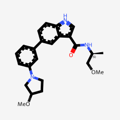 COC[C@H](C)NC(=O)c1c[nH]c2ccc(-c3cccc(N4CCC(OC)C4)c3)cc12